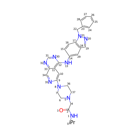 CC(C)NC(=O)CN1CCN(c2cc3c(Nc4ccc5c(cnn5Cc5ccccc5)c4)ncnc3cn2)CC1